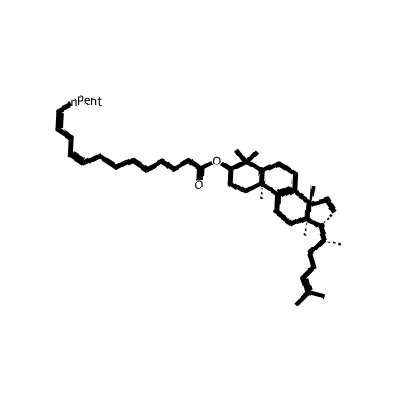 CCCCC/C=C\C/C=C\CCCCCCCC(=O)OC1CC[C@]2(C)C3=C(CCC2C1(C)C)[C@]1(C)CC[C@H]([C@H](C)CCC=C(C)C)[C@@]1(C)CC3